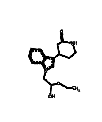 CCOC(O)Cn1cc(C2CCNC(=O)C2)c2ccccc21